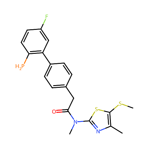 CSc1sc(N(C)C(=O)Cc2ccc(-c3cc(F)ccc3P)cc2)nc1C